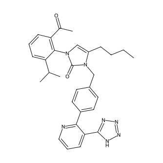 CCCCc1cn(-c2c(C(C)=O)cccc2C(C)C)c(=O)n1Cc1ccc(-c2ncccc2-c2nnn[nH]2)cc1